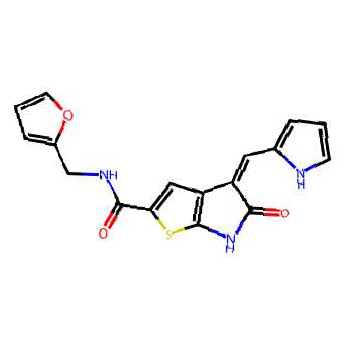 O=C1Nc2sc(C(=O)NCc3ccco3)cc2C1=Cc1ccc[nH]1